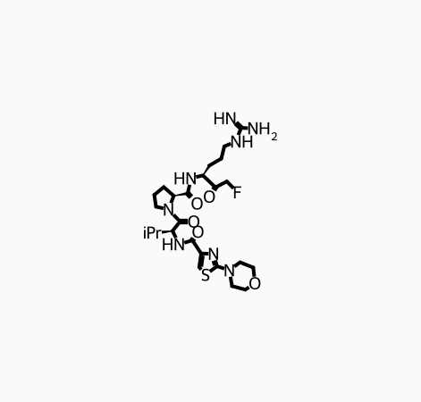 CC(C)[C@H](NC(=O)c1csc(N2CCOCC2)n1)C(=O)N1CCC[C@H]1C(=O)N[C@@H](CCCNC(=N)N)C(=O)CF